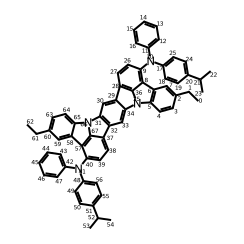 CCc1ccc2c(c1)c1c(N(c3ccccc3)c3ccc(C(C)C)cc3)ccc3c4cc5c(cc4n2c31)c1ccc(N(c2ccccc2)c2ccc(C(C)C)cc2)c2c3cc(CC)ccc3n5c12